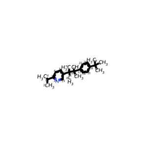 CC(C)c1ccc(C(C)(C)C(C)(C)c2ccc(C(C)(C)C)cc2)cn1